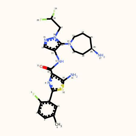 Cc1ccc(F)c(-c2nc(C(=O)Nc3cnn(CC(F)F)c3N3CCC[C@@H](N)CC3)c(N)s2)c1